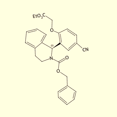 CCOC(=O)COc1ccc(C#N)cc1[C@@H]1c2ccccc2CCN1C(=O)OCc1ccccc1